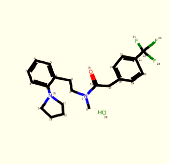 CN(CCc1ccccc1N1CCCC1)C(=O)Cc1ccc(C(F)(F)F)cc1.Cl